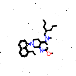 C=C(/N=C1/CN(c2cccc3cccc(CC)c23)CC/C1=C(/C)N(C)CC(CCC)CCC)OC